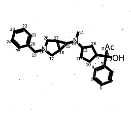 CC(=O)C(O)(c1ccccc1)C1CCC(N(C)C2C3CN(Cc4ccccc4)CC32)C1